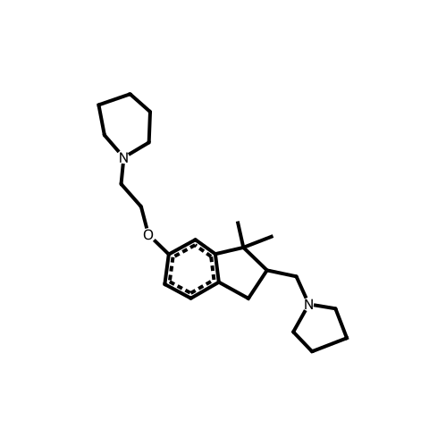 CC1(C)c2cc(OCCN3CCCCC3)ccc2CC1CN1CCCC1